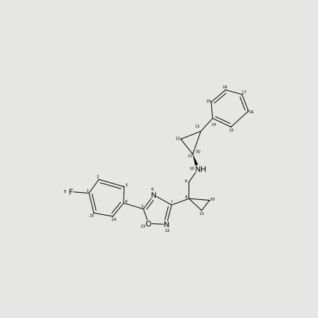 Fc1ccc(-c2nc(C3(CN[C@H]4CC4c4ccccc4)CC3)no2)cc1